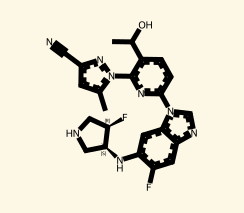 Cc1cc(C#N)nn1-c1nc(-n2cnc3cc(F)c(N[C@H]4CNC[C@H]4F)cc32)ccc1C(C)O